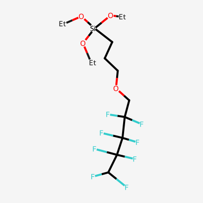 CCO[Si](CCCOCC(F)(F)C(F)(F)C(F)(F)C(F)F)(OCC)OCC